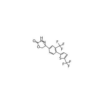 O=C1NN=C(c2ccc(-c3ccc(C(F)(F)F)s3)c(C(F)(F)F)c2)CO1